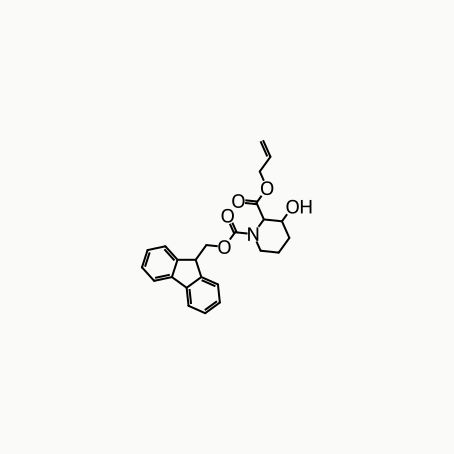 C=CCOC(=O)C1C(O)CCCN1C(=O)OCC1c2ccccc2-c2ccccc21